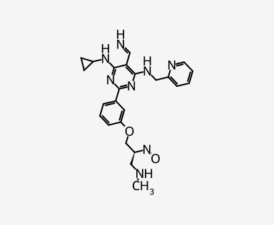 CNC[C@@H](COc1cccc(-c2nc(NCc3ccccn3)c(C=N)c(NC3CC3)n2)c1)N=O